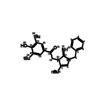 CCCCc1cn(Cc2ccccc2)c(=N)n1CC(=O)c1cc(C(C)(C)C)c(O)c(C(C)(C)C)c1